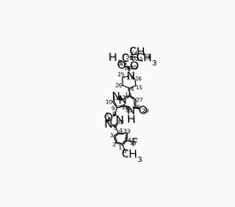 Cc1ccc(-c2noc(-c3cnn4c(C5CCN(C(=O)OC(C)(C)C)CC5)cc(=O)[nH]c34)n2)cc1F